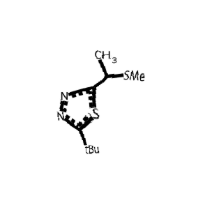 CSC(C)c1nnc(C(C)(C)C)s1